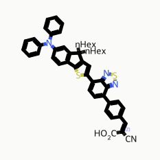 CCCCCCC1(CCCCCC)c2cc(N(c3ccccc3)c3ccccc3)ccc2-c2sc(-c3ccc(-c4ccc(/C=C(/C#N)C(=O)O)cc4)c4nsnc34)cc21